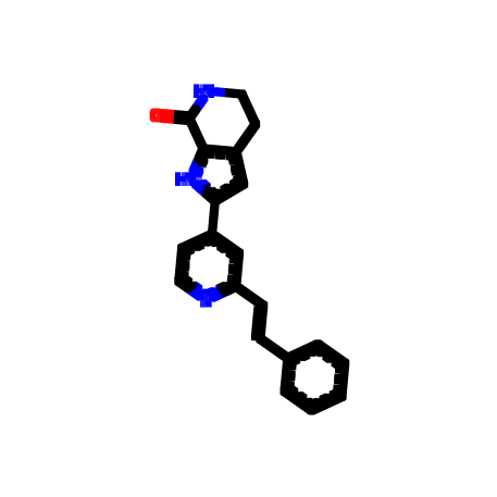 O=C1NCCc2cc(-c3ccnc(/C=C/c4ccccc4)c3)[nH]c21